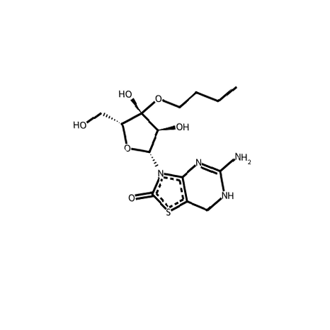 CCCCO[C@@]1(O)[C@@H](CO)O[C@@H](n2c3c(sc2=O)CNC(N)=N3)[C@@H]1O